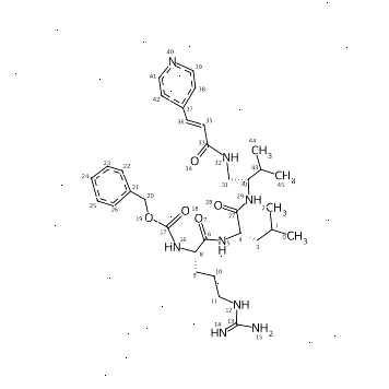 CC(C)C[C@H](NC(=O)[C@H](CCCNC(=N)N)NC(=O)OCc1ccccc1)C(=O)N[C@H](CNC(=O)/C=C/c1ccncc1)C(C)C